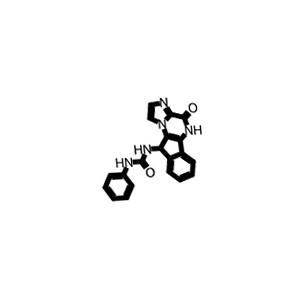 O=C(Nc1ccccc1)NC1c2ccccc2-c2[nH]c(=O)c3nccn3c21